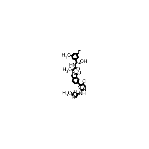 Cc1cc(F)cc([C@@H](CO)NC(=O)[C@@H](C)N2Cc3ccc(-c4nc(Nc5cnn(C)n5)ncc4Cl)cc3C2=O)c1